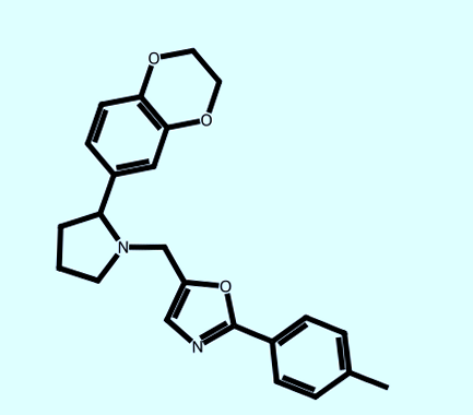 Cc1ccc(-c2ncc(CN3CCCC3c3ccc4c(c3)OCCO4)o2)cc1